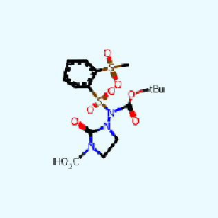 CC(C)(C)OC(=O)N(N1CCN(C(=O)O)C1=O)S(=O)(=O)c1ccccc1S(C)(=O)=O